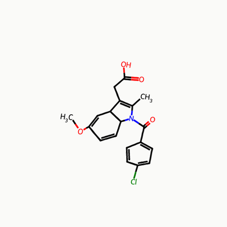 COC1=CC2C(CC(=O)O)=C(C)N(C(=O)c3ccc(Cl)cc3)C2C=C1